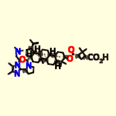 C=C(C)[C@@H]1CC[C@]2(C(=O)N3CCC[C@H]3c3nc(C)c(C)n3CCN(C)C)CC[C@]3(C)[C@H](CC[C@@H]4[C@@]5(C)CC[C@H](OC(=O)[C@H]6C[C@@H](C(=O)O)C6(C)C)C(C)(C)[C@@H]5CC[C@]43C)[C@@H]12